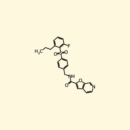 CCCc1cccc(F)c1S(=O)(=O)c1ccc(CNC(=O)c2cc3ccncc3o2)cc1